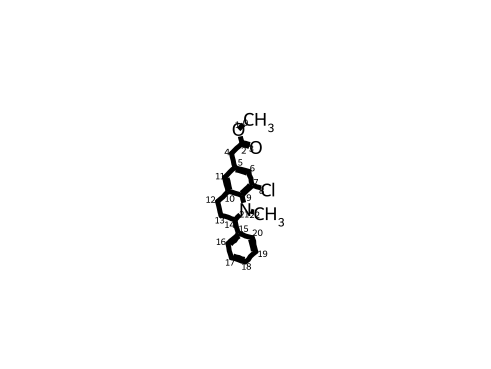 COC(=O)Cc1cc(Cl)c2c(c1)CCC(c1ccccc1)N2C